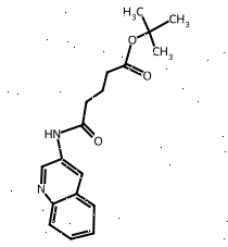 CC(C)(C)OC(=O)CCCC(=O)Nc1cnc2ccccc2c1